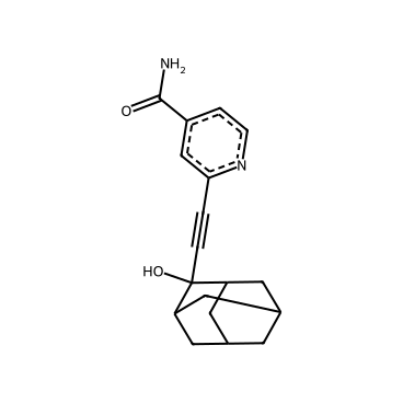 NC(=O)c1ccnc(C#CC2(O)C3CC4CC(C3)CC2C4)c1